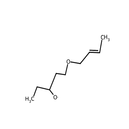 CC=CCOCCC([O])CC